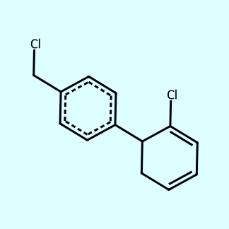 ClCc1ccc(C2CC=CC=C2Cl)cc1